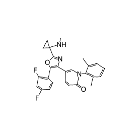 CNC1(c2nc(-c3ccc(=O)n(-c4c(C)cccc4C)c3)c(-c3ccc(F)cc3F)o2)CC1